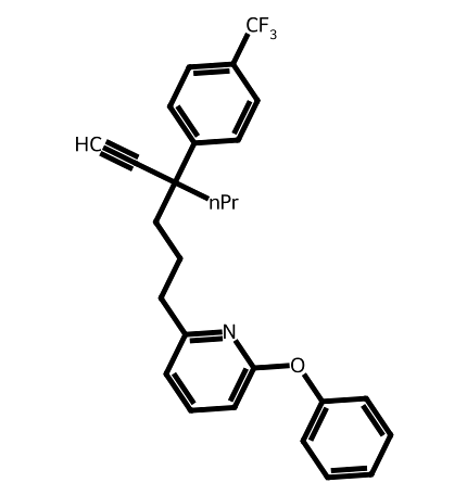 C#CC(CCC)(CCCc1cccc(Oc2ccccc2)n1)c1ccc(C(F)(F)F)cc1